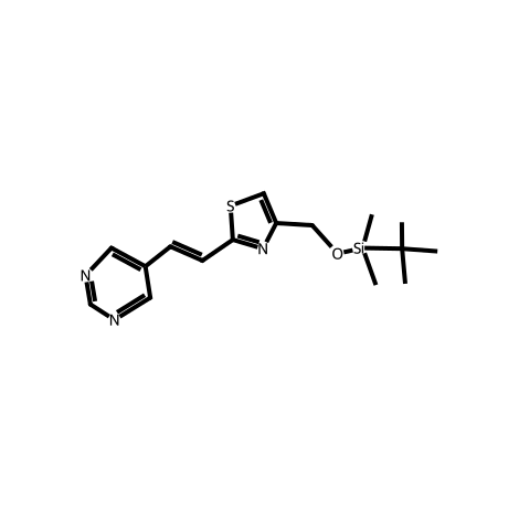 CC(C)(C)[Si](C)(C)OCc1csc(C=Cc2cncnc2)n1